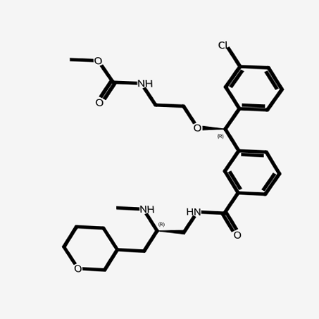 CN[C@@H](CNC(=O)c1cccc([C@@H](OCCNC(=O)OC)c2cccc(Cl)c2)c1)CC1CCCOC1